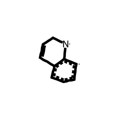 [c]1cccc2c1[N]CC=C2